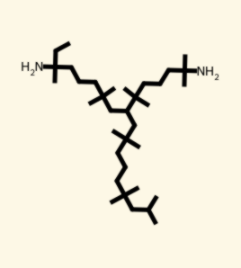 CCC(C)(N)CCCC(C)(C)CC(CC(C)(C)CCCC(C)(C)CC(C)C)C(C)(C)CCCC(C)(C)N